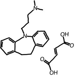 CN(C)CCCN1c2ccccc2CCc2ccccc21.O=C(O)C=CC(=O)O